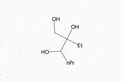 CCCC(O)C(O)(CC)CO